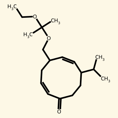 CCOC(C)(C)OCC1C=CC(C(C)C)CCC(=O)C=CC1